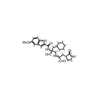 COc1ccc2[nH]c(C(=O)N[C@@](C=O)(CN[C@H](C=O)C[C@@H]3CCNC3=O)CC3CCCCC3)cc2c1